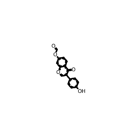 O=COc1ccc2c(=O)c(-c3ccc(O)cc3)coc2c1